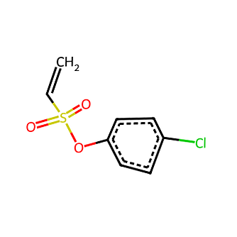 C=CS(=O)(=O)Oc1ccc(Cl)cc1